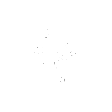 COc1ccc(C(c2ccccc2)(c2ccc(OC)cc2)C(O)[C@H]2O[C@@H](n3cc(C)c(=O)n(COCc4ccccc4)c3=O)C[C@@H]2CCNC2SC(n3cc(C)c(=O)n(COCc4ccccc4)c3=O)CC2OC(=O)c2ccccc2)cc1